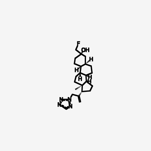 C=C(Cn1ncnn1)[C@H]1CC[C@H]2[C@@H]3CC[C@@H]4C[C@](O)(CF)CC[C@@H]4[C@H]3CC[C@]12C